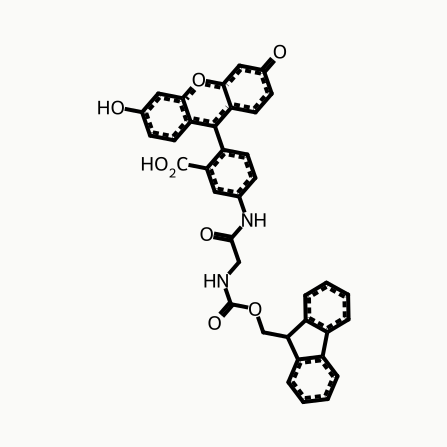 O=C(CNC(=O)OCC1c2ccccc2-c2ccccc21)Nc1ccc(-c2c3ccc(=O)cc-3oc3cc(O)ccc23)c(C(=O)O)c1